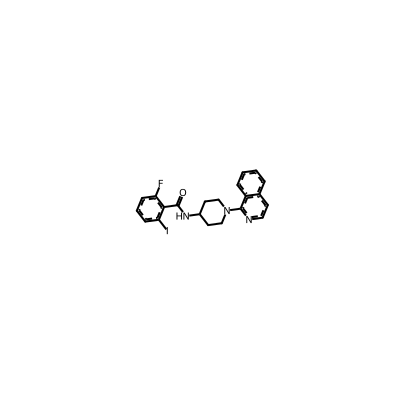 O=C(NC1CCN(c2nccc3ccccc23)CC1)c1c(F)cccc1I